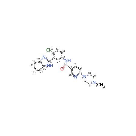 CN1CCN(c2ccc(C(=O)Nc3ccc(Cl)c(-c4nc5ccccc5[nH]4)c3)cn2)CC1